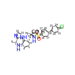 CC(Nc1cccc([C@@H]2C[C@]2(NS(=O)(=O)c2ccc(-c3ccc(Cl)cc3)cc2)C(=O)O)c1)c1ncc[nH]1